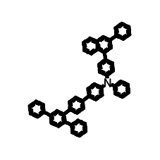 c1ccc(-c2ccc(-c3ccccc3)c(-c3ccc(-c4ccc(N(c5ccccc5)c5ccc(-c6cc(-c7ccccc7)cc7ccccc67)cc5)cc4)cc3)c2)cc1